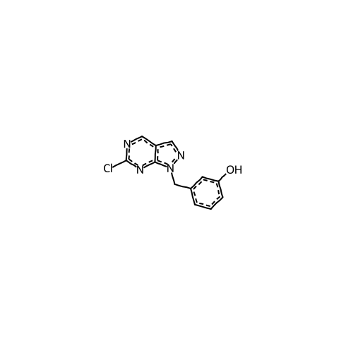 Oc1cccc(Cn2ncc3cnc(Cl)nc32)c1